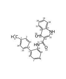 Cc1ccc(-c2ccccc2NC(=O)c2c[nH]c3ccccc3c2=O)cc1